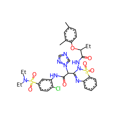 CCC(Oc1ccc(C)cc1C)C(=O)NN1C(C(C(=O)Nc2cc(S(=O)(=O)N(CC)CC)ccc2Cl)n2cncn2)=Nc2ccccc2S1(=O)=O